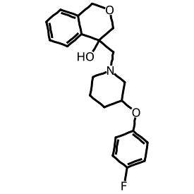 OC1(CN2CCCC(Oc3ccc(F)cc3)C2)COCc2ccccc21